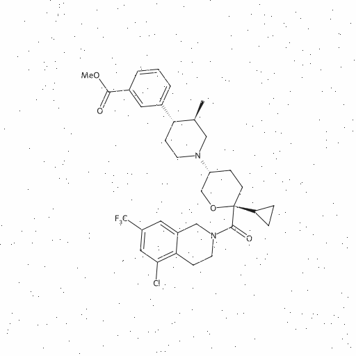 COC(=O)c1cccc([C@H]2CCN([C@@H]3CC[C@@](C(=O)N4CCc5c(Cl)cc(C(F)(F)F)cc5C4)(C4CC4)OC3)C[C@@H]2C)c1